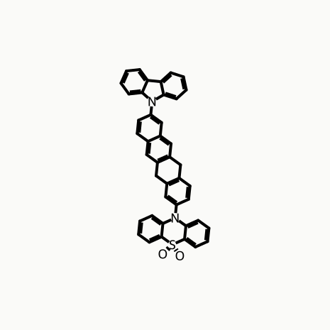 O=S1(=O)c2ccccc2N(c2ccc3c(c2)Cc2cc4ccc(-n5c6ccccc6c6ccccc65)cc4cc2C3)c2ccccc21